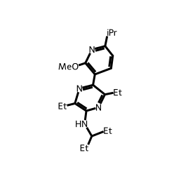 CCc1nc(-c2ccc(C(C)C)nc2OC)c(CC)nc1NC(CC)CC